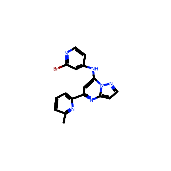 Cc1cccc(-c2cc(Nc3ccnc(Br)c3)n3nccc3n2)n1